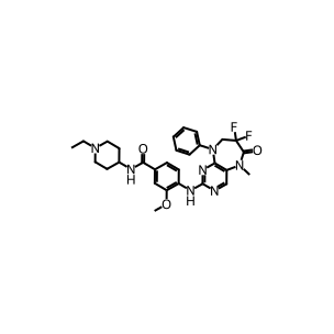 CCN1CCC(NC(=O)c2ccc(Nc3ncc4c(n3)N(c3ccccc3)CC(F)(F)C(=O)N4C)c(OC)c2)CC1